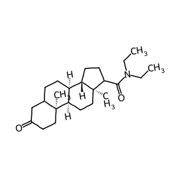 CCN(CC)C(=O)C1CC[C@H]2[C@@H]3CCC4CC(=O)CC[C@]4(C)[C@@H]3CC[C@]12C